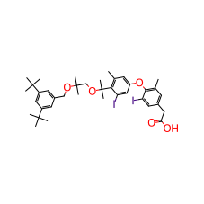 Cc1cc(CC(=O)O)cc(I)c1Oc1cc(C)c(C(C)(C)OCC(C)(C)OCc2cc(C(C)(C)C)cc(C(C)(C)C)c2)c(I)c1